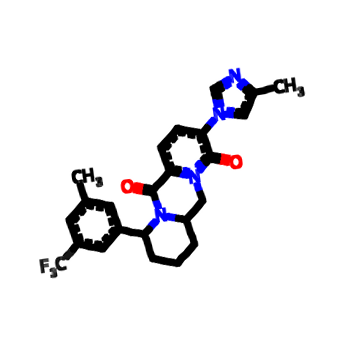 Cc1cc(C2CCCC3Cn4c(ccc(-n5cnc(C)c5)c4=O)C(=O)N32)cc(C(F)(F)F)c1